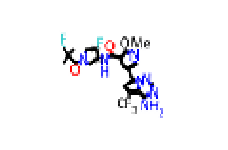 COc1ncc(-c2cc(C(F)(F)F)c3c(N)ncnn23)cc1C(=O)N[C@@H]1CN(C(=O)C(C)(C)CF)C[C@@H]1F